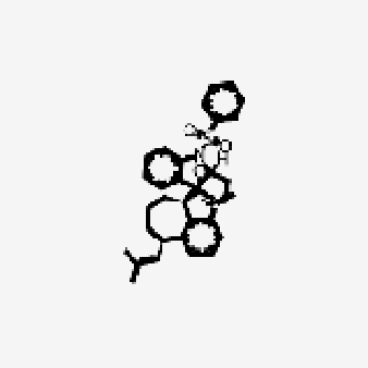 CC(C)=C[C@H]1CCC[C@]2([C@]34CCC[C@H]3N(S(=O)(=O)c3ccccc3)c3ccccc34)c3c1cccc3N(C)[C@@H]2C#N